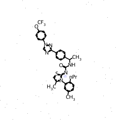 CCCc1ccc(C)cc1-n1c(C)cs/c1=N\C(=O)NC(C)c1ccc(-c2ncn(-c3ccc(OC(F)(F)F)cc3)n2)cc1